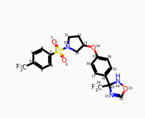 O=S(=O)(c1ccc(C(F)(F)F)cc1)N1CCC(Oc2ccc(C3(C(F)(F)F)N=CON3)cc2)C1